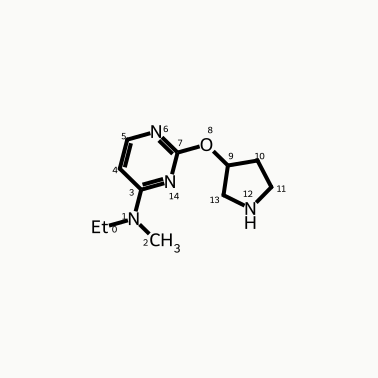 CCN(C)c1ccnc(OC2CCNC2)n1